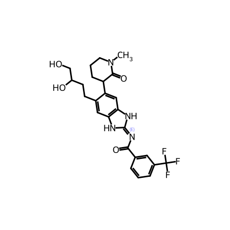 CN1CCCC(c2cc3[nH]/c(=N/C(=O)c4cccc(C(F)(F)F)c4)[nH]c3cc2CCC(O)CO)C1=O